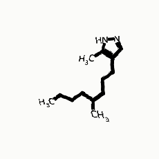 CCCCC(C)CCCc1cn[nH]c1C